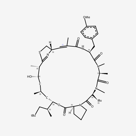 CC[C@H](C)[C@H]1C(=O)N2CCC[C@H]2C(=O)O[C@H]([C@@H](C)CC(C)(C)C)C[C@@H](C)C[C@H](O)[C@H](C)C2=N[C@@H](/C=C(\C)C(=O)N[C@@H](Cc3ccc(OC)cc3)C(=O)N(C)[C@@H](C)C(=O)N1C)CS2